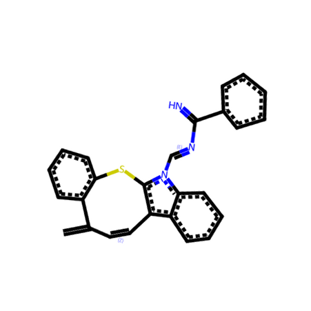 C=C1/C=C\c2c(n(/C=N/C(=N)c3ccccc3)c3ccccc23)Sc2ccccc21